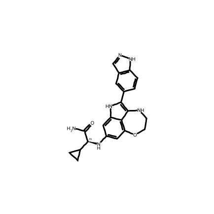 NC(=O)[C@@H](Nc1cc2c3c(c(-c4ccc5[nH]ncc5c4)[nH]c3c1)NCCO2)C1CC1